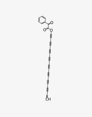 C#CC#CC#CC#CC#CC#CC#CC#CC#COC(=O)C(=O)c1ccccc1